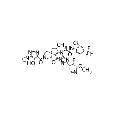 COc1nccc(-c2nc3n(CC(=O)Nc4ccc(C(F)(F)F)cc4Cl)c4c(c(=O)n3n2)C2(CCN(C(=O)c3ncnc(N5CCC5)c3O)CC2)CC4C)c1F